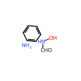 N.O=CNO.c1ccccc1